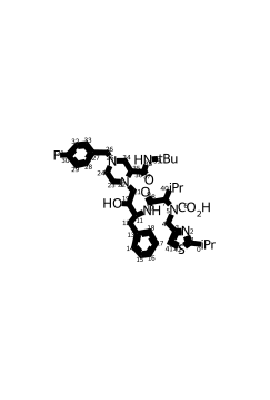 CC(C)c1nc(CN(C(=O)O)C(C(=O)NC(Cc2ccccc2)C(O)CN2CCN(Cc3ccc(F)cc3)CC2C(=O)NC(C)(C)C)C(C)C)cs1